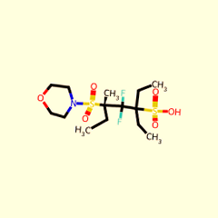 CCC(CC)(C(F)(F)[C@](C)(CC)S(=O)(=O)N1CCOCC1)S(=O)(=O)O